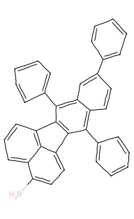 Bc1ccc2c3c(cccc13)-c1c-2c(-c2ccccc2)c2ccc(-c3ccccc3)cc2c1-c1ccccc1